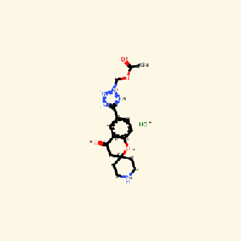 CC(C)(C)C(=O)OCn1nnc(-c2ccc3c(c2)C(=O)CC2(CCNCC2)O3)n1.Cl